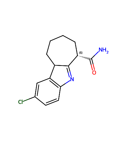 NC(=O)[C@H]1CCCCC2C1=Nc1ccc(Cl)cc12